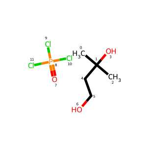 CC(C)(O)CCO.O=P(Cl)(Cl)Cl